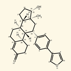 C[C@]12C[C@H](c3ccc(-c4ccoc4)cc3)[C@H]3[C@@H](CCC4=CC(=O)CC[C@@H]43)[C@@H]1CC[C@@H]2O